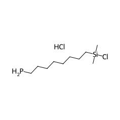 C[Si](C)(Cl)CCCCCCCCP.Cl